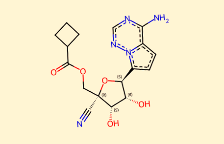 N#C[C@]1(COC(=O)C2CCC2)O[C@@H](c2ccc3c(N)ncnn23)[C@H](O)[C@@H]1O